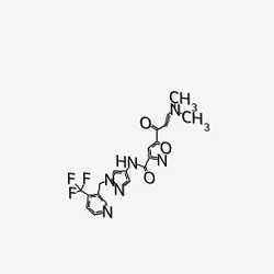 CN(C)/C=C/C(=O)c1cc(C(=O)Nc2cnn(Cc3cnccc3C(F)(F)F)c2)no1